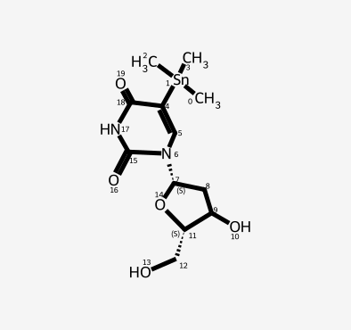 [CH3][Sn]([CH3])([CH3])[c]1cn([C@@H]2CC(O)[C@H](CO)O2)c(=O)[nH]c1=O